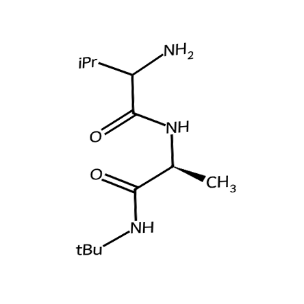 CC(C)C(N)C(=O)N[C@@H](C)C(=O)NC(C)(C)C